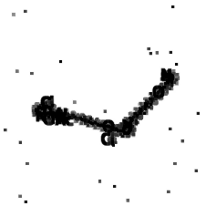 CC(=O)Oc1c(-c2cn(CCCCCCCCCCCCOCCCc3ccc[n+](CCCCCCCCCCCCOCCCc4cccnc4)c3)nn2)cc(Cl)c2cccnc12.[Cl-]